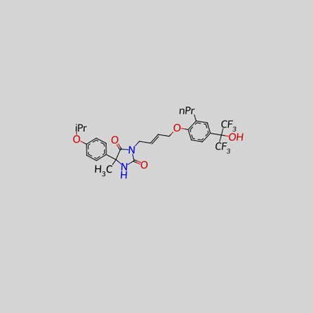 CCCc1cc(C(O)(C(F)(F)F)C(F)(F)F)ccc1OC/C=C/CN1C(=O)NC(C)(c2ccc(OC(C)C)cc2)C1=O